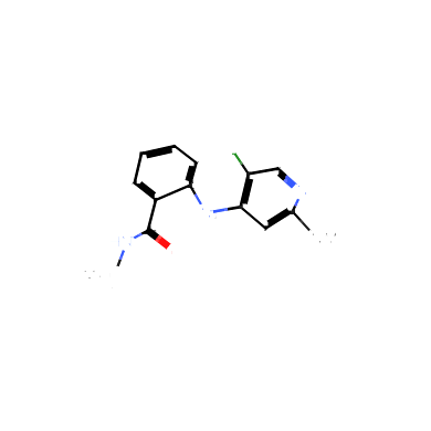 CNc1cc(Nc2ccccc2C(=O)NOC)c(Cl)cn1